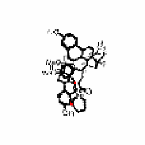 COc1ccc(CC[N+]2(C(=O)CC[C@H]([C@@H]3CC(F)(F)[C@@]4(C)CCC5c6ccc(O)cc6CCC5C34)[C@H]3CC(F)(F)[C@@]4(C)CCC5c6ccc(O)cc6CCC5C34)CCCCC2)cc1OC